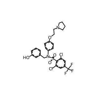 O=S(=O)(c1c(Cl)cc(C(F)(F)F)cc1Cl)N(Cc1cccc(O)c1)c1ccc(OCCN2CCCC2)cc1